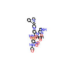 Cc1ccccc1[C@@H]1CCCN1C1CC2(CCN(c3ccc(C(=O)NS(=O)(=O)c4ccc(NCC5CCOCC5)c([N+](=O)[O-])c4)c(N4C[C@H]5COC[C@H]5Oc5nc6[nH]ccc6cc54)c3)CC2)C1